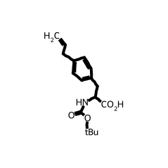 C=CCc1ccc(CC(NC(=O)OC(C)(C)C)C(=O)O)cc1